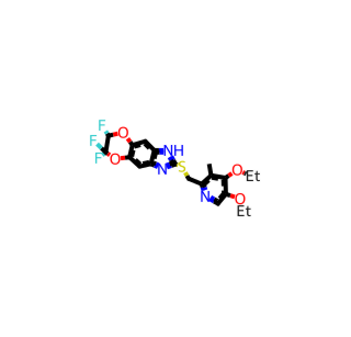 CCOc1cnc(CSc2nc3cc4c(cc3[nH]2)OC(F)C(F)(F)O4)c(C)c1OCC